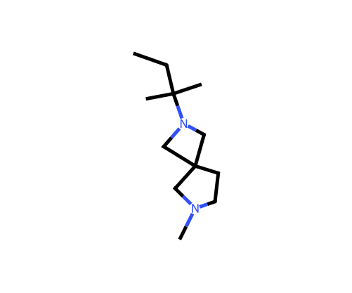 CCC(C)(C)N1CC2(CCN(C)C2)C1